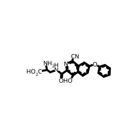 N#Cc1nc(C(=O)NCC(N)C(=O)O)c(O)c2ccc(Oc3ccccc3)cc12